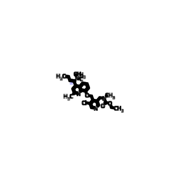 C=C/C=C(/c1cc(C)nc2c(OCc3c(Cl)cncc3CN(C)C(=O)OCC)cccc12)N(C)C